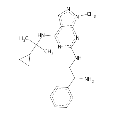 Cn1ncc2c(NC(C)(C)C3CC3)nc(NC[C@H](N)c3ccccc3)nc21